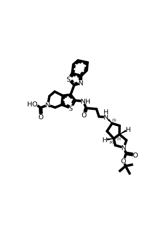 CC(C)(C)OC(=O)N1C[C@H]2C[C@H](NCCC(=O)Nc3sc4c(c3-c3nc5ccccc5s3)CCN(C(=O)O)C4)C[C@H]2C1